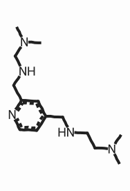 CN(C)CCNCc1ccnc(CNCN(C)C)c1